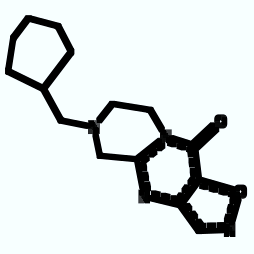 O=c1c2oncc2nc2n1CCN(CC1CCCCC1)C2